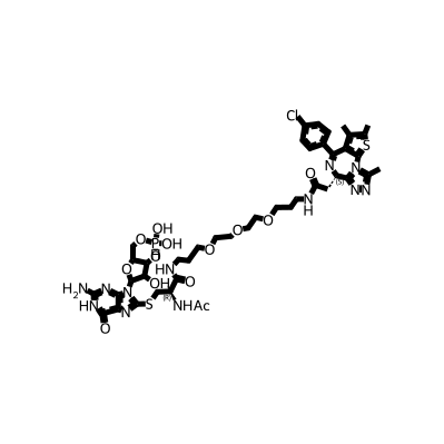 CC(=O)N[C@@H](CSc1nc2c(=O)[nH]c(N)nc2n1C1OC2CO[PH](O)(O)OC2C1O)C(=O)NCCCOCCOCCOCCCNC(=O)C[C@@H]1N=C(c2ccc(Cl)cc2)c2c(sc(C)c2C)-n2c(C)nnc21